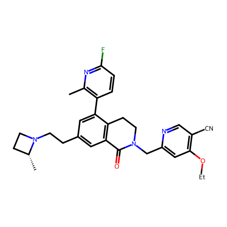 CCOc1cc(CN2CCc3c(cc(CCN4CC[C@H]4C)cc3-c3ccc(F)nc3C)C2=O)ncc1C#N